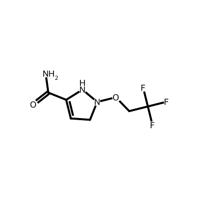 NC(=O)C1=CCN(OCC(F)(F)F)N1